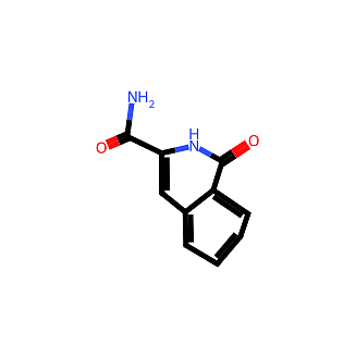 NC(=O)c1cc2ccccc2c(=O)[nH]1